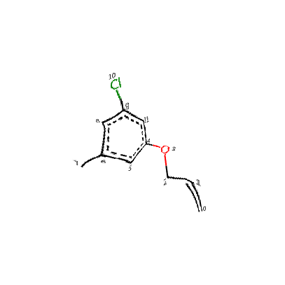 C=CCOc1cc(C)cc(Cl)c1